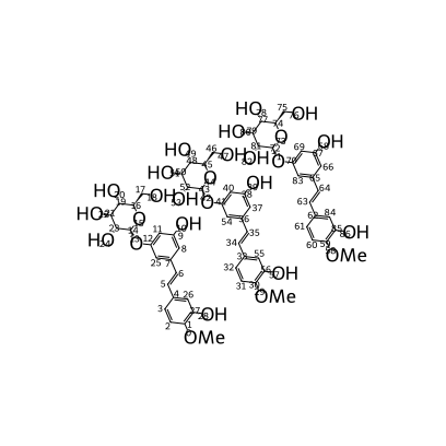 COc1ccc(/C=C/c2cc(O)cc(O[C@@H]3O[C@H](CO)[C@@H](O)[C@H](O)[C@H]3O)c2)cc1O.COc1ccc(/C=C/c2cc(O)cc(O[C@@H]3O[C@H](CO)[C@@H](O)[C@H](O)[C@H]3O)c2)cc1O.COc1ccc(/C=C/c2cc(O)cc(O[C@@H]3O[C@H](CO)[C@@H](O)[C@H](O)[C@H]3O)c2)cc1O